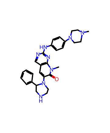 CN1CCN(c2ccc(Nc3ncc4cc(N5CCNCC5c5ccccc5)c(=O)n(C)c4n3)cc2)CC1